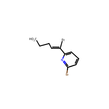 CCC(=CCCC(=O)O)c1cccc(Br)n1